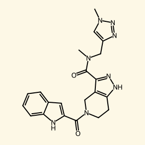 CN(Cc1cn(C)nn1)C(=O)c1n[nH]c2c1CN(C(=O)c1cc3ccccc3[nH]1)CC2